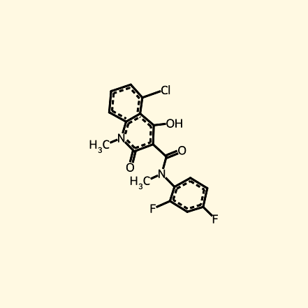 CN(C(=O)c1c(O)c2c(Cl)cccc2n(C)c1=O)c1ccc(F)cc1F